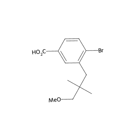 COCC(C)(C)Cc1cc(C(=O)O)ccc1Br